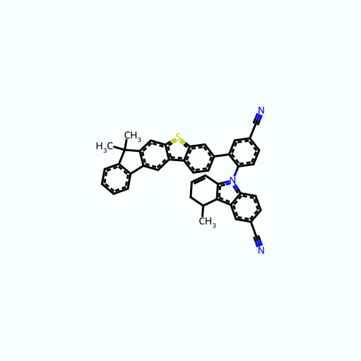 CC1CC=Cc2c1c1cc(C#N)ccc1n2-c1ccc(C#N)cc1-c1ccc2c(c1)sc1cc3c(cc12)-c1ccccc1C3(C)C